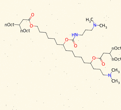 CCCCCCCCC(CCCCCCCC)CC(=O)OCCCCCCC(CCCCCC(CCCN(C)C)OC(=O)CC(CCCCCCCC)CCCCCCCC)OC(=O)NCCCN(C)C